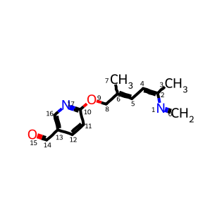 C=N/C(C)=C\C=C(/C)COc1ccc(C=O)cn1